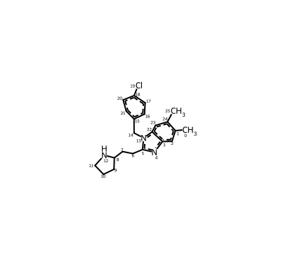 Cc1cc2nc(CCC3CCCN3)n(Cc3ccc(Cl)cc3)c2cc1C